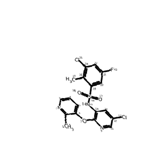 Cc1ncccc1Oc1ncc(Cl)cc1NS(=O)(=O)c1cc(F)cc(Cl)c1C